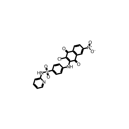 O=C1C(Cl)=C(Nc2ccc(S(=O)(=O)Nc3ccccn3)cc2)C(=O)c2cc([N+](=O)[O-])ccc21